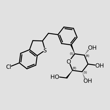 OC[C@H]1O[C@@H](c2cccc(CC3Cc4cc(Cl)ccc4S3)c2)[C@H](O)C(O)[C@@H]1O